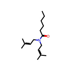 CCCCCC(=O)N(CC=C(C)C)CC=C(C)C